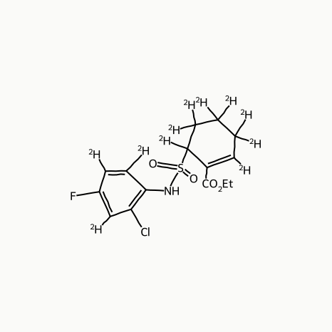 [2H]C1=C(C(=O)OCC)C([2H])(S(=O)(=O)Nc2c([2H])c([2H])c(F)c([2H])c2Cl)C([2H])([2H])C([2H])([2H])C1([2H])[2H]